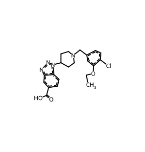 CCOc1cc(CN2CCC(n3nnc4cc(C(=O)O)ccc43)CC2)ccc1Cl